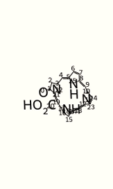 O=C1Cc2cc3ccc(cc4nc(cc5ccc([nH]5)c(C(=O)O)c1n2)CC4)[nH]3